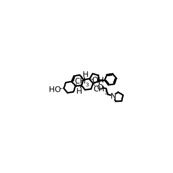 C[C@]12CC[C@H]3[C@@H](CC=C4C[C@@H](O)CC[C@@]43C)[C@@]1(O)CC[C@]2(OCCN1CCCC1)c1ccccc1